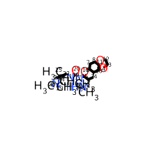 CNC[C@@H](C[C@H]1CCCC2(C1)OCCO2)C(=O)N(C)C(=O)NCC(C)(C)CN(C)C